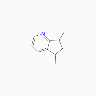 CC1CC(C)c2ncccc21